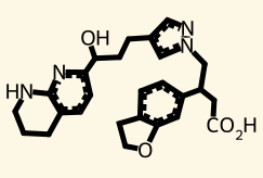 O=C(O)CC(Cn1cc(CCC(O)c2ccc3c(n2)NCCC3)cn1)c1ccc2c(c1)OCC2